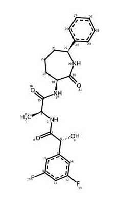 C[C@H](NC(=O)[C@H](O)c1cc(F)cc(F)c1)C(=O)N[C@H]1CCC[C@@H](c2ccccc2)NC1=O